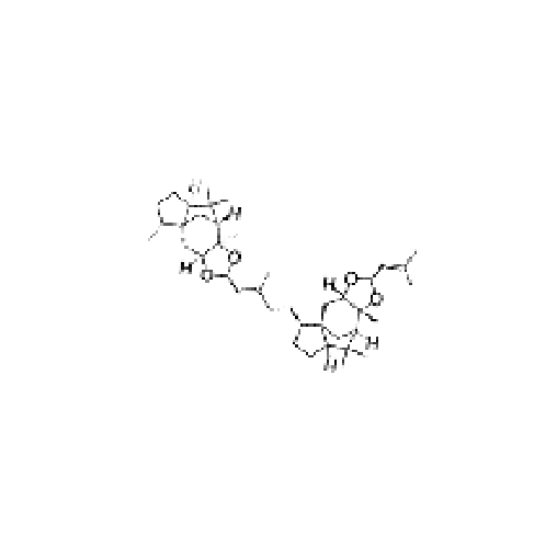 CC(C)=C[C@@H]1O[C@H]2C[C@@]34C[C@H](C(C)(C)[C@@H]3CC[C@H]4CC/C(C)=C/[C@H]3O[C@H]4C[C@@]56C[C@H](C(C)(C)[C@@H]5CC[C@H]6C)[C@@]4(C)O3)[C@@]2(C)O1